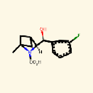 CC12CC(C1)[C@@H]([C@@H](O)c1cccc(F)c1)N2C(=O)O